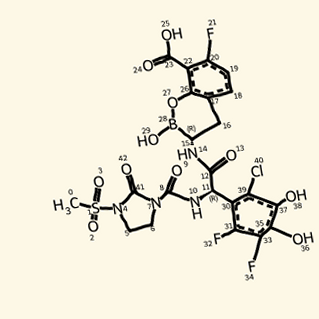 CS(=O)(=O)N1CCN(C(=O)N[C@@H](C(=O)N[C@H]2Cc3ccc(F)c(C(=O)O)c3OB2O)c2c(F)c(F)c(O)c(O)c2Cl)C1=O